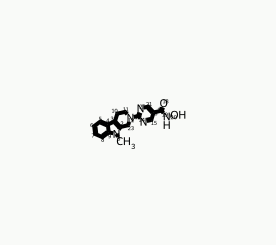 Cn1c2c(c3ccccc31)CCN(c1ncc(C(=O)NO)cn1)C2